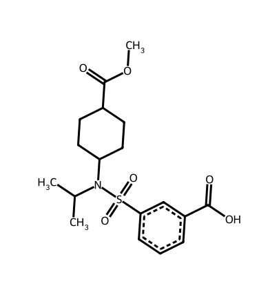 COC(=O)C1CCC(N(C(C)C)S(=O)(=O)c2cccc(C(=O)O)c2)CC1